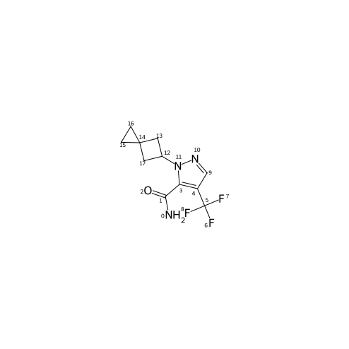 NC(=O)c1c(C(F)(F)F)cnn1C1CC2(CC2)C1